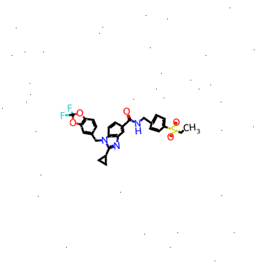 CCS(=O)(=O)c1ccc(CNC(=O)c2ccc3c(c2)nc(C2CC2)n3Cc2ccc3c(c2)OC(F)(F)O3)cc1